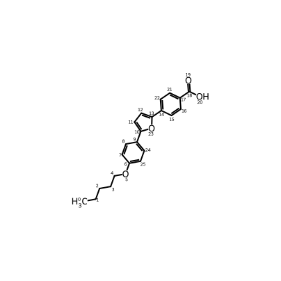 CCCCCOc1ccc(-c2ccc(-c3ccc(C(=O)O)cc3)o2)cc1